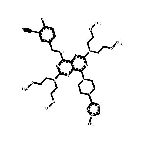 COCCN(CCOC)c1nc(N2CCN(c3ncn(C)n3)CC2)c2nc(N(CCOC)CCOC)nc(NCc3ccc(F)c(C#N)c3)c2n1